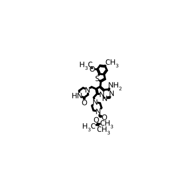 COc1cc(C)cc2cc(-c3c(CN4CCNC(=O)C4)c(CN4CCN(C(=O)OC(C)(C)C)CC4)n4ncnc(N)c34)sc12